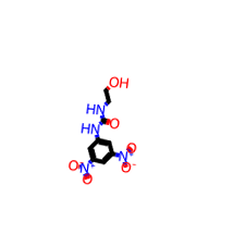 O=C(NCCO)Nc1cc([N+](=O)[O-])cc([N+](=O)[O-])c1